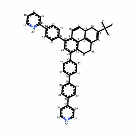 CC(C)(C)C1=CC2=C3c4c(c(-c5ccc(-c6ccccn6)cc5)cc(-c5ccc(-c6ccc(-c7ccncc7)cc6)cc5)c4CC2)C=CC3C1